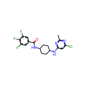 Cc1nc(Cl)cc(NC2CCC(NC(=O)c3cc(F)c(F)c(F)c3)CC2)n1